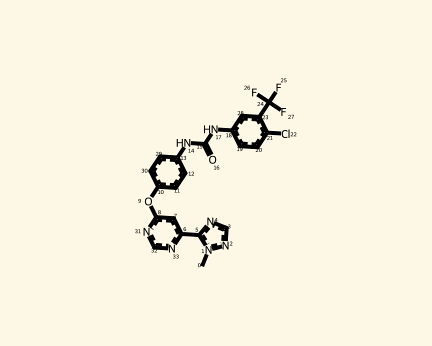 Cn1ncnc1-c1cc(Oc2ccc(NC(=O)Nc3ccc(Cl)c(C(F)(F)F)c3)cc2)ncn1